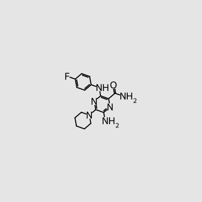 NC(=O)c1nc(N)c(N2CCCCC2)nc1Nc1ccc(F)cc1